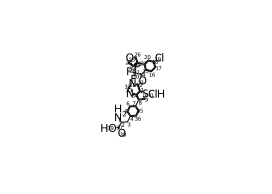 Cl.N[C@@H](Cc1ccc(-c2csc3c(O[C@H](c4ccc(Cl)cc4-c4ccoc4)C(F)(F)F)ncnc23)cc1)C(=O)O